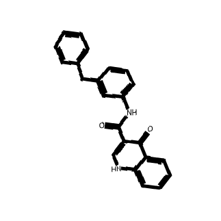 O=C(Nc1cccc(Cc2ccccc2)c1)c1c[nH]c2ccccc2c1=O